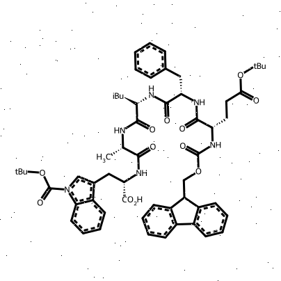 CC[C@H](C)[C@H](NC(=O)[C@H](Cc1ccccc1)NC(=O)[C@H](CCC(=O)OC(C)(C)C)NC(=O)OCC1c2ccccc2-c2ccccc21)C(=O)N[C@@H](C)C(=O)N[C@@H](Cc1cn(C(=O)OC(C)(C)C)c2ccccc12)C(=O)O